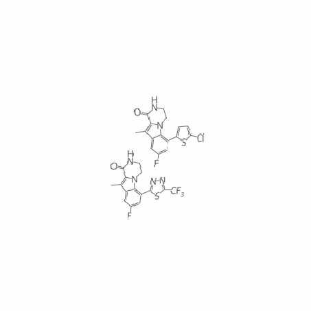 Cc1c2n(c3c(-c4ccc(Cl)s4)cc(F)cc13)CCNC2=O.Cc1c2n(c3c(-c4nnc(C(F)(F)F)s4)cc(F)cc13)CCNC2=O